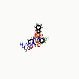 CO[n+]1c(N)cccc1CS(=O)(=O)c1ccc(Cl)cc1NS(=O)(=O)c1cc2ccccc2o1